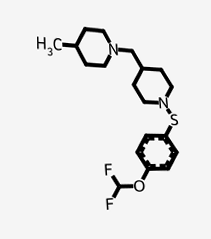 CC1CCN(CC2CCN(Sc3ccc(OC(F)F)cc3)CC2)CC1